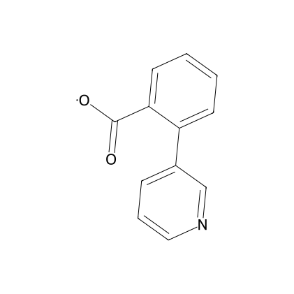 [O]C(=O)c1ccccc1-c1cccnc1